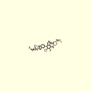 CN(c1c(F)c(Cl)c(-c2ccn3nc(NC(=O)[C@@H]4C[C@@H]4F)cc3c2)c2cn[nH]c12)C1CCC(N)CC1